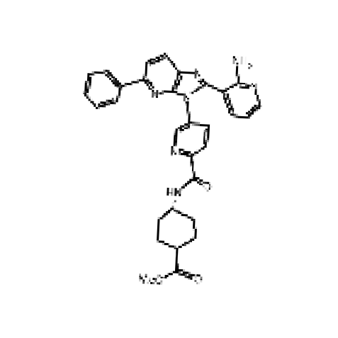 COC(=O)[C@H]1CC[C@H](NC(=O)c2ccc(-n3c(-c4cccnc4N)nc4ccc(-c5ccccc5)nc43)cn2)CC1